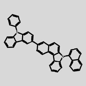 c1ccc(-n2c3ccccc3c3cc(-c4ccc5c(ccc6c5c5ccccc5n6-c5cccc6ccccc56)c4)ccc32)cc1